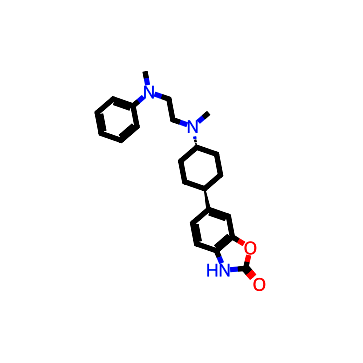 CN(CCN(C)[C@H]1CC[C@H](c2ccc3[nH]c(=O)oc3c2)CC1)c1ccccc1